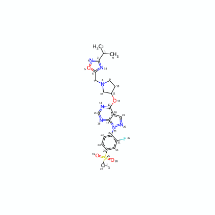 CC(C)c1noc(CN2CCC(Oc3ncnc4c3cnn4-c3ccc(S(C)(=O)=O)cc3F)C2)n1